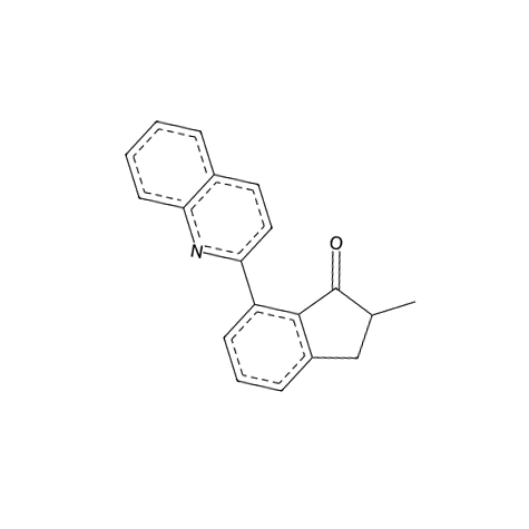 CC1Cc2cccc(-c3ccc4ccccc4n3)c2C1=O